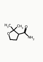 CC1(C)OCCC1C(N)=O